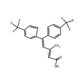 C/C(C=C(c1ccc(C(F)(F)F)cc1)c1ccc(C(F)(F)F)cc1)=C\C(=O)O